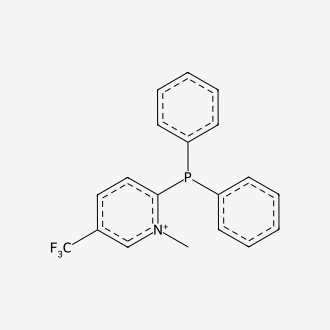 C[n+]1cc(C(F)(F)F)ccc1P(c1ccccc1)c1ccccc1